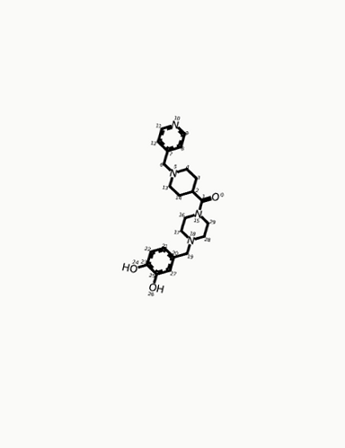 O=C(C1CCN(Cc2ccncc2)CC1)N1CCN(Cc2ccc(O)c(O)c2)CC1